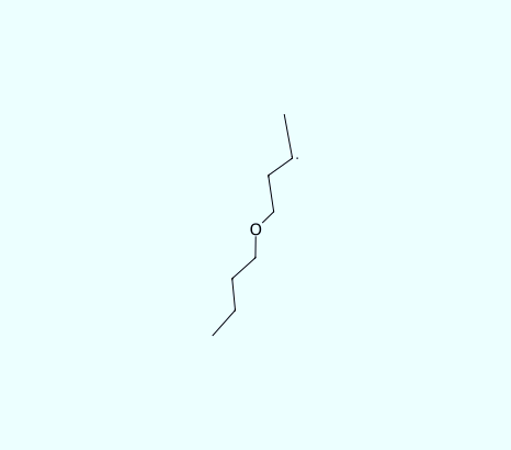 C[CH]CCOCCCC